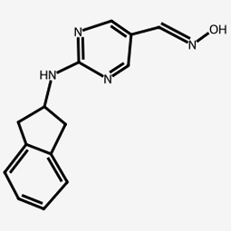 ON=Cc1cnc(NC2Cc3ccccc3C2)nc1